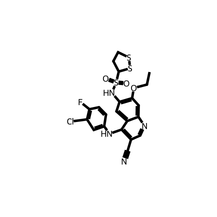 CCOc1cc2ncc(C#N)c(Nc3ccc(F)c(Cl)c3)c2cc1NS(=O)(=O)C1CCSS1